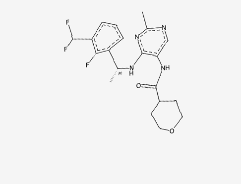 Cc1ncc(NC(=O)C2CCOCC2)c(N[C@H](C)c2cccc(C(F)F)c2F)n1